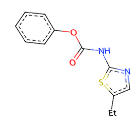 CCc1cnc(NC(=O)Oc2ccccc2)s1